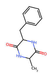 CC1NC(=O)C(Cc2ccccc2)NC1=O